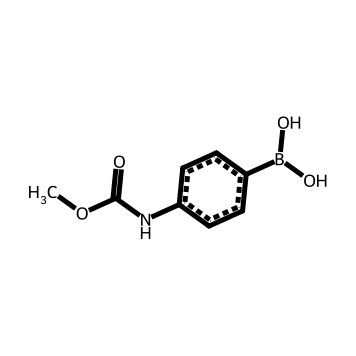 COC(=O)Nc1ccc(B(O)O)cc1